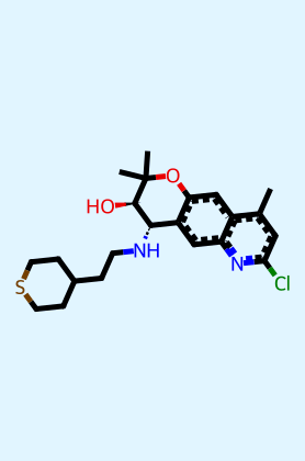 Cc1cc(Cl)nc2cc3c(cc12)OC(C)(C)[C@H](O)[C@H]3NCCC1CCSCC1